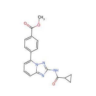 COC(=O)c1ccc(-c2cccc3nc(NC(=O)C4CC4)nn23)cc1